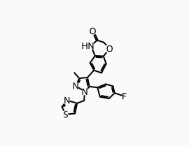 Cc1nn(Cc2cscn2)c(-c2ccc(F)cc2)c1-c1ccc2c(c1)NC(=O)CO2